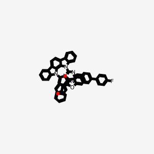 Fc1ccc(-c2ccc(-c3nc(-c4ccccc4)nc(-n4c5ccccc5c5ccc6c7ccccc7n(-c7cc(-c8ccccc8)c8oc9ccccc9c8c7)c6c54)n3)cc2)cc1